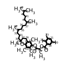 Cc1c(C)c2c(c(C)c1OC(=O)C(C)OC(=O)c1cc(I)cc(I)c1I)CCC(C)(CCCC(C)CCCC(C)CCCC(C)C)O2